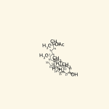 CC(=O)OC(C)(C)CCC[C@@H](C)[C@H]1CC[C@H]2[C@@H]3CC=C4C[C@@H](O)CC[C@]4(C)[C@H]3CC[C@]12C